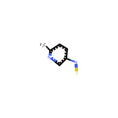 FC(F)(F)c1ccc(N=S)cn1